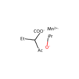 CC(C)[O-].CCC(C(C)=O)C(=O)[O-].[Mn+2]